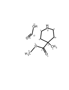 COC(=O)C1(C)CCNCC1.O=CO